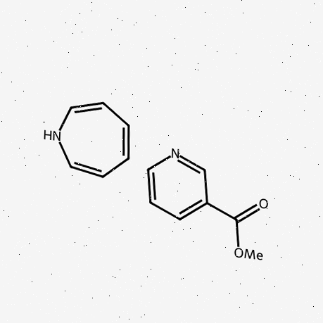 C1=CC=CNC=C1.COC(=O)c1cccnc1